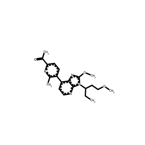 CCC(CCOC)n1c(OC)nc2c(-c3ccc(C(C)=O)nc3C)ccnc21